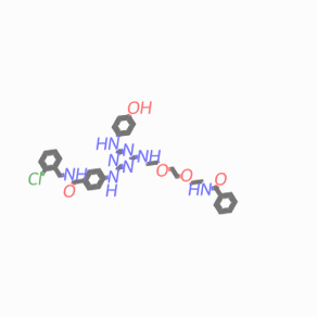 O=C(NCCOCCOCCNc1nc(Nc2ccc(O)cc2)nc(Nc2ccc(C(=O)NCc3ccccc3Cl)cc2)n1)c1ccccc1